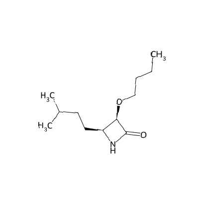 CCCCO[C@H]1C(=O)N[C@H]1CCC(C)C